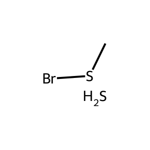 CSBr.S